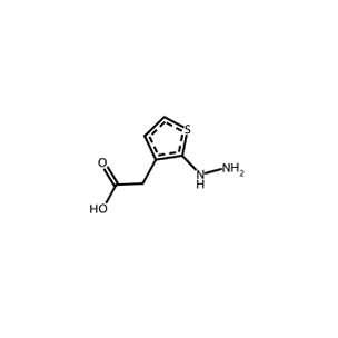 NNc1sccc1CC(=O)O